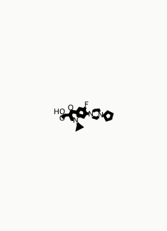 O=C(O)c1cn(C2CC2)c2cc(N3CCN(C4CCCC4)CC3)c(F)cc2c1=O